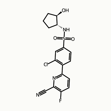 N#Cc1nc(-c2ccc(S(=O)(=O)N[C@@H]3CCC[C@H]3O)cc2Cl)ccc1F